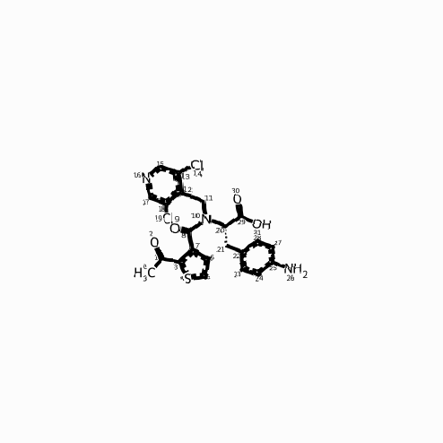 CC(=O)c1sccc1C(=O)N(Cc1c(Cl)cncc1Cl)[C@@H](Cc1ccc(N)cc1)C(=O)O